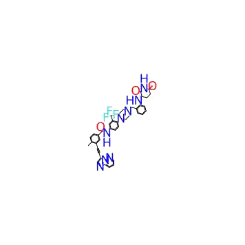 Cc1ccc(C(=O)Nc2ccc(N3CCN(Cc4ccccc4NC4CCC(=O)NC4=O)CC3)c(C(F)(F)F)c2)cc1C#Cc1cnc2cccnn12